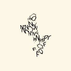 Cc1nc2c(N3C[C@@H](C)N([C@H](c4ccc(OC(F)F)cc4F)C(C)C)C[C@@H]3C)nc3nncn3c2n1C[C@@H]1CCCO1